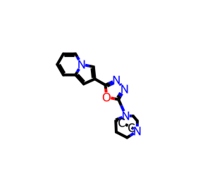 c1ccn2cc(-c3nnc(N4CCN5CCC4CC5)o3)cc2c1